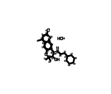 Cc1cc(Cl)nc2cc3c(cc12)OC(C)(C)[C@H](O)[C@H]3NCCC1CCCCC1.Cl